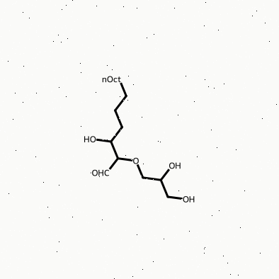 CCCCCCCCCCCC(O)C([C]=O)OCC(O)CO